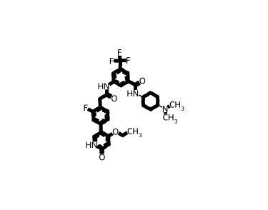 CCOc1cc(=O)[nH]cc1-c1ccc(CC(=O)Nc2cc(C(=O)N[C@H]3CC[C@@H](N(C)C)CC3)cc(C(F)(F)F)c2)c(F)c1